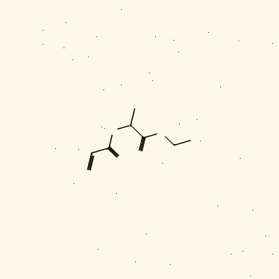 C=CC(=O)OC(C)C(=O)OCC